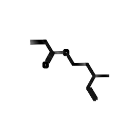 C=CC(=O)OCCC(C)C=C